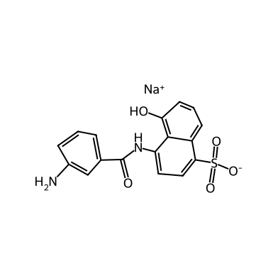 Nc1cccc(C(=O)Nc2ccc(S(=O)(=O)[O-])c3cccc(O)c23)c1.[Na+]